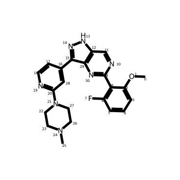 COc1cccc(F)c1-c1ncc2[nH]nc(-c3ccnc(N4CCN(C)CC4)c3)c2n1